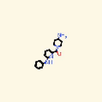 NC1CCN(C(=O)c2cccc(Nc3ccccc3)n2)CC1